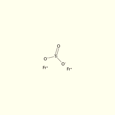 [Fr+].[Fr+].[O]=[Ti]([O-])[O-]